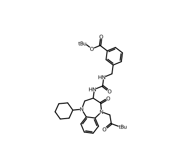 CC(C)(C)OC(=O)c1cccc(CNC(=O)NC2CN(C3CCCCC3)c3ccccc3N(CC(=O)C(C)(C)C)C2=O)c1